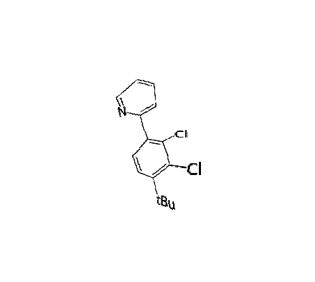 CC(C)(C)c1ccc(-c2ccccn2)c(Cl)c1Cl